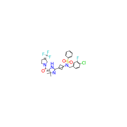 CC1(C)N=C(C23CC(N(Cc4ccc(Cl)c(F)c4)S(=O)(=O)c4ccccc4)(C2)C3)N[C@H]1C(=O)N1CC[C@H](C(F)(F)F)C1